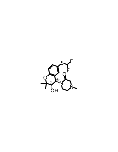 CN1CCN([C@@H]2c3cc(SC(F)F)ccc3OC(C)(C)[C@H]2O)C(=O)C1